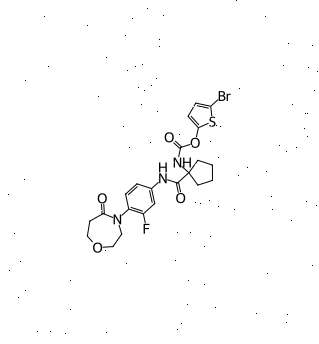 O=C(NC1(C(=O)Nc2ccc(N3CCOCCC3=O)c(F)c2)CCCC1)Oc1ccc(Br)s1